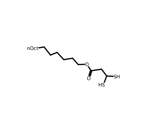 CCCCCCCCCCCCCCOC(=O)CC(S)S